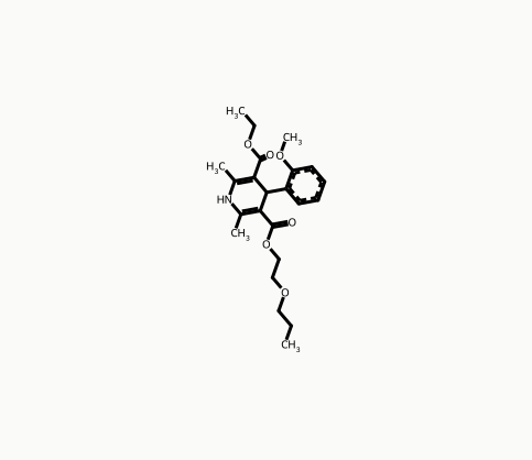 CCCOCCOC(=O)C1=C(C)NC(C)=C(C(=O)OCC)C1c1ccccc1OC